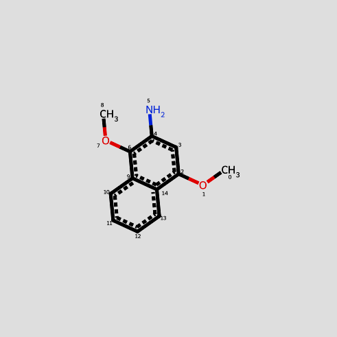 COc1cc(N)c(OC)c2ccccc12